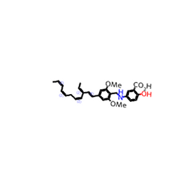 C/C=C\C=C/C\C=C/C(=C/C)/C=C/c1cc(OC)c(CNc2ccc(O)c(C(=O)O)c2)c(OC)c1